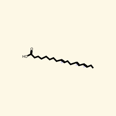 CC/C=C/C=C/CC/C=C/CCCCCCCC(=O)O